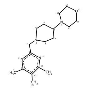 Cc1nc(CN2CCC(N3CCOCC3)CC2)nc(C)c1C